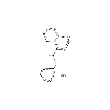 FC(F)(F)c1ccccc1CNc1ncnc2ncccc12